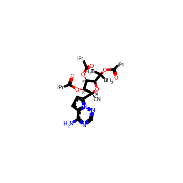 BC(B)(OC(=O)C(C)C)C1O[C@@](C#N)(c2ccc3c(N)ncnn23)[C@H](OC(=O)C(C)C)[C@@H]1OC(=O)C(C)C